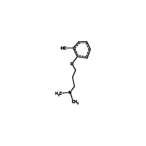 [CH]c1ccccc1OCCCN(C)C